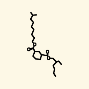 CCCCC(CC)COC(=O)C1CCCC(C(=O)OCCCCCCCC(C)C)C1